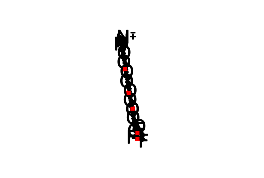 [N-]=[N+]=NCCOCCOCCOCCOCCOCCOCCOCCOCCC(=O)Oc1c(F)cc(F)cc1F